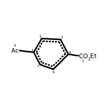 [CH2]C(=O)c1ccc(C(=O)OCC)cc1